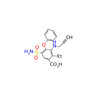 C#CCNc1c(CC)c(C(=O)O)cc(S(N)(=O)=O)c1Oc1ccccc1